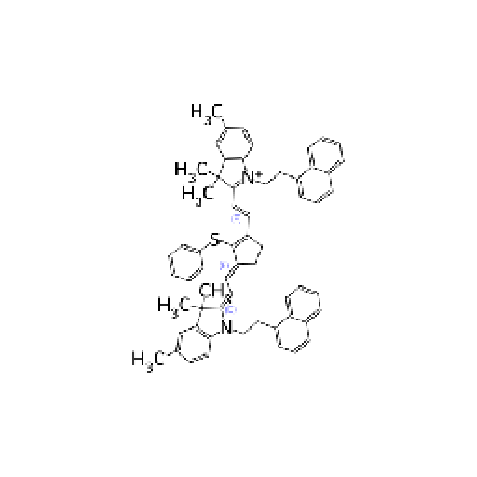 Cc1ccc2c(c1)C(C)(C)C(/C=C/C1=C(Sc3ccccc3)C(=C/C=C3/N(CCc4cccc5ccccc45)c4ccc(C)cc4C3(C)C)/CC1)=[N+]2CCc1cccc2ccccc12